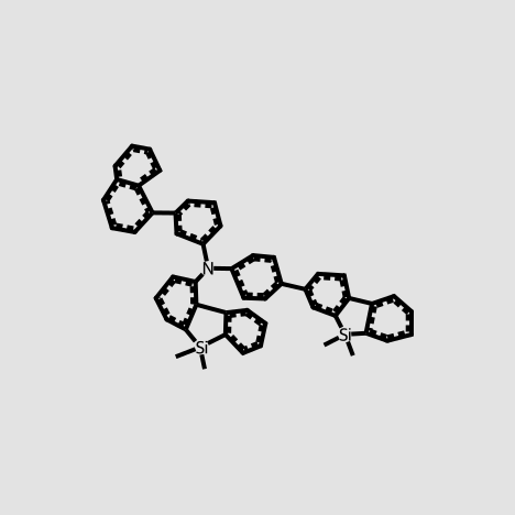 C[Si]1(C)c2ccccc2-c2ccc(-c3ccc(N(c4cccc(-c5cccc6ccccc56)c4)c4cccc5c4-c4ccccc4[Si]5(C)C)cc3)cc21